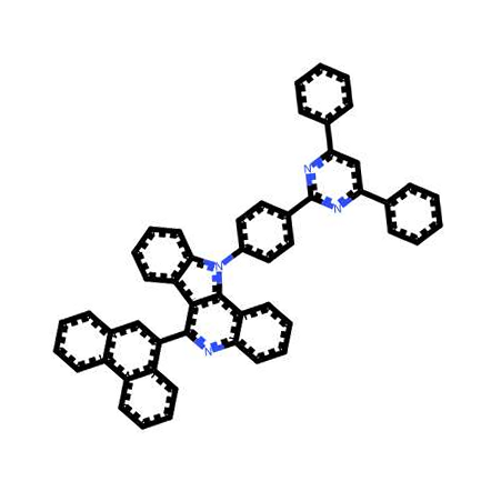 c1ccc(-c2cc(-c3ccccc3)nc(-c3ccc(-n4c5ccccc5c5c(-c6cc7ccccc7c7ccccc67)nc6ccccc6c54)cc3)n2)cc1